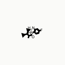 CC(C(=O)Nc1ccc(F)cc1N)C(C1CC1)C1CC1